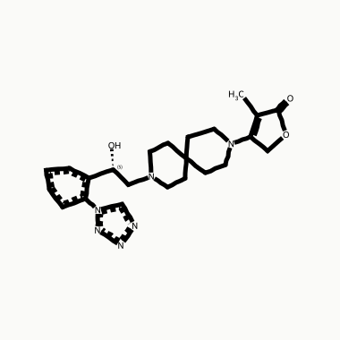 CC1=C(N2CCC3(CCN(C[C@@H](O)c4ccccc4-n4cnnn4)CC3)CC2)COC1=O